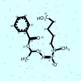 CC(O/N=[N+](/[O-])N(C)CCCCC(=O)O)OC(=O)c1ccccc1